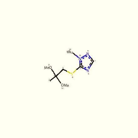 COC(C)(CSc1ncnn1C(C)(C)C)OC